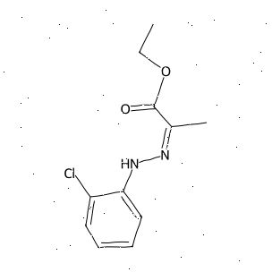 CCOC(=O)C(C)=NNc1ccccc1Cl